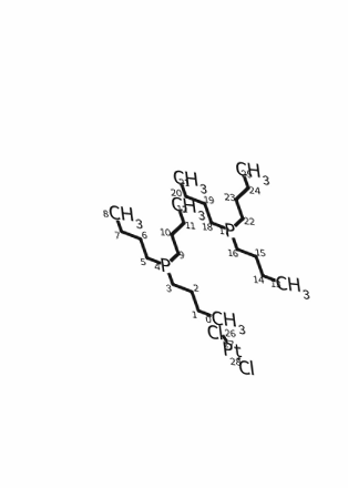 CCCCP(CCCC)CCCC.CCCCP(CCCC)CCCC.[Cl][Pt][Cl]